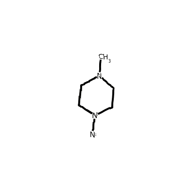 CN1CCN([N])CC1